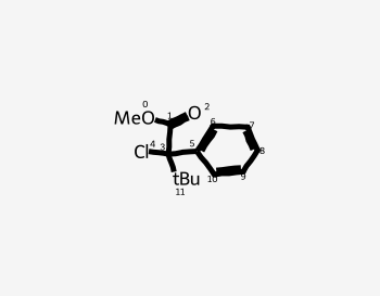 COC(=O)C(Cl)(c1ccccc1)C(C)(C)C